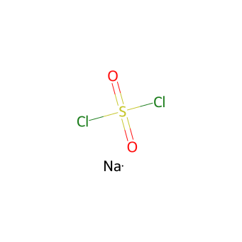 O=S(=O)(Cl)Cl.[Na]